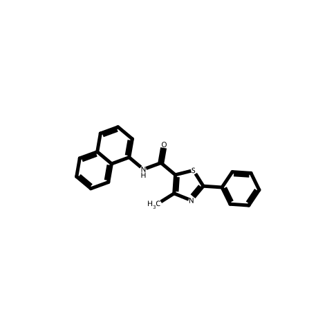 Cc1nc(-c2ccccc2)sc1C(=O)Nc1cccc2ccccc12